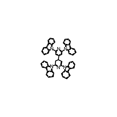 C1=C(n2c3ccccc3c3ccccc32)N=C(n2c3ccccc3c3ccccc32)CC1c1cc(-n2c3ccccc3c3ccccc32)nc(-n2c3ccccc3c3ccccc32)c1